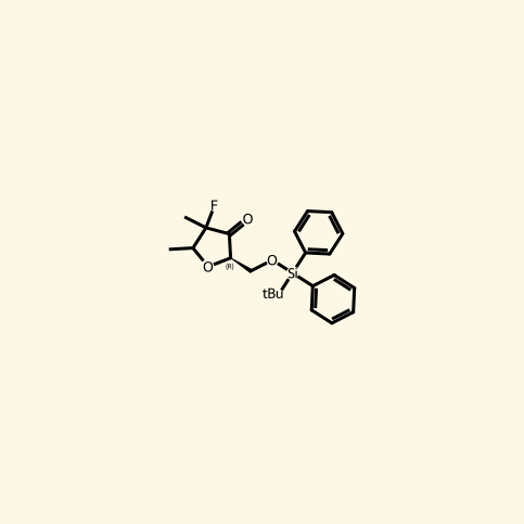 CC1O[C@H](CO[Si](c2ccccc2)(c2ccccc2)C(C)(C)C)C(=O)C1(C)F